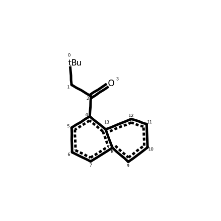 CC(C)(C)CC(=O)c1cccc2ccccc12